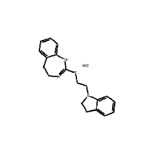 Cl.c1ccc2c(c1)CCN=C(SCCN1CCc3ccccc31)N2